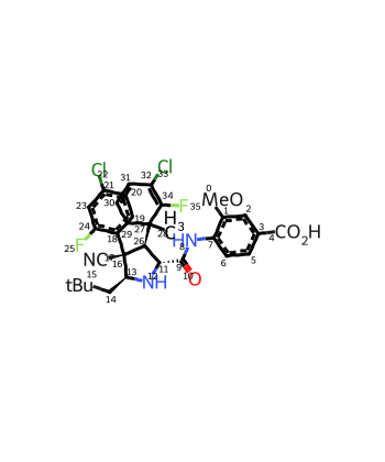 COc1cc(C(=O)O)ccc1NC(=O)[C@@H]1N[C@@H](CC(C)(C)C)[C@](C#N)(c2ccc(Cl)cc2F)[C@H]1C1(C)CC=CC(Cl)=C1F